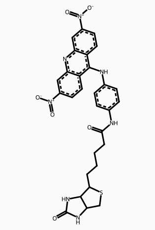 O=C(CCCCC1SCC2NC(=O)NC21)Nc1ccc(Nc2c3ccc([N+](=O)[O-])cc3nc3cc([N+](=O)[O-])ccc23)cc1